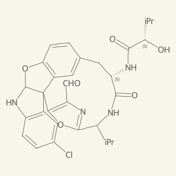 CC(C)C1NC(=O)[C@@H](NC(=O)[C@@H](O)C(C)C)Cc2ccc3c(c2)C2(c4cc(Cl)ccc4NC2O3)c2oc1nc2C=O